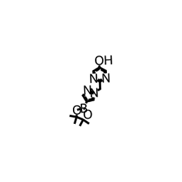 CC1(C)OB(c2cnn(Cc3ncc(O)cn3)c2)OC1(C)C